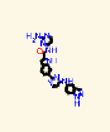 Nc1nccc(NC(=O)c2cc3ccc(-c4nccc(Nc5ccc6[nH]ncc6c5)n4)cc3[nH]2)n1